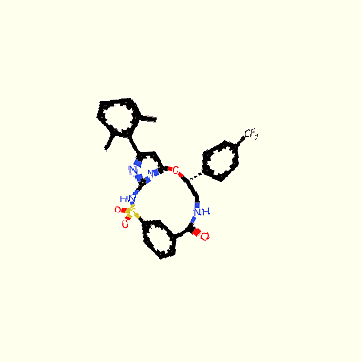 Cc1cccc(C)c1-c1cc2nc(n1)NS(=O)(=O)c1cccc(c1)C(=O)NC[C@@H](c1ccc(C(F)(F)F)cc1)O2